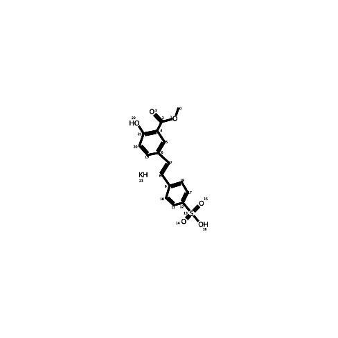 COC(=O)c1cc(C=Cc2ccc(S(=O)(=O)O)cc2)ccc1O.[KH]